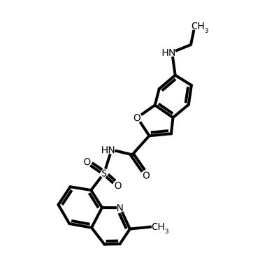 CCNc1ccc2cc(C(=O)NS(=O)(=O)c3cccc4ccc(C)nc34)oc2c1